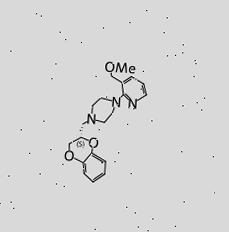 [11CH3]OCc1cccnc1N1CCN(C[C@H]2COc3ccccc3O2)CC1